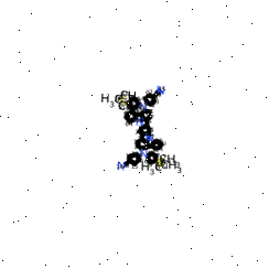 CS(C)(C)c1ccc(N(c2ccc(C#N)cc2)c2ccc3c4cc5c(cc4n4c6ccccc6c2c34)c2ccc(N(c3ccc(C#N)cc3)c3ccc(S(C)(C)C)cc3)c3c4ccccc4n5c23)cc1